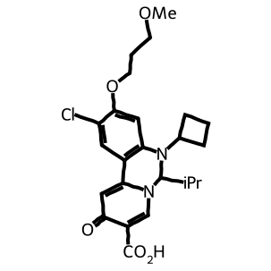 COCCCOc1cc2c(cc1Cl)-c1cc(=O)c(C(=O)O)cn1C(C(C)C)N2C1CCC1